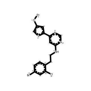 CCOc1csc(-c2cc(NCCc3ccc(Br)cc3Cl)ncn2)c1